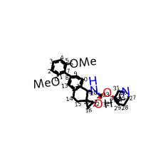 COc1cccc(OC)c1-c1ccc2c(c1)CCC1(CC1)C2NC(=O)O[C@H]1CN2CCC1CC2